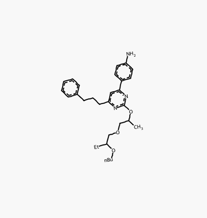 CCCCOC(CC)COCC(C)Oc1nc(CCCc2ccccc2)cc(-c2ccc(N)cc2)n1